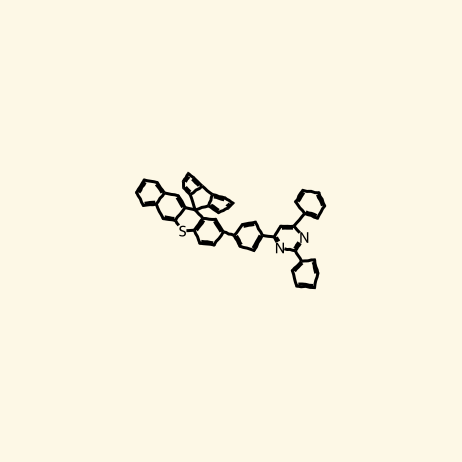 c1ccc(-c2cc(-c3ccc(-c4ccc5c(c4)C4(c6cc7ccccc7cc6S5)c5ccccc5-c5ccccc54)cc3)nc(-c3ccccc3)n2)cc1